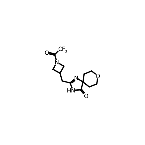 O=C(N1CC(CC2=NC3(CCOCC3)C(=O)N2)C1)C(F)(F)F